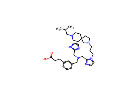 CC(C)CN1CCC2(CC1)CCN(CCCn1ccnc1CN(Cc1cccc(CCC(=O)O)c1)Cc1ncc[nH]1)C2